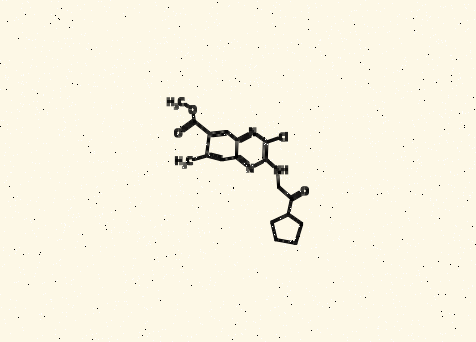 COC(=O)c1cc2nc(Cl)c(NCC(=O)C3CCCC3)nc2cc1C